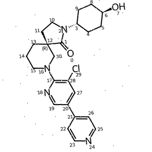 O=C1N([C@H]2CC[C@H](O)CC2)CC[C@@]12CCCN(c1ncc(-c3ccncc3)cc1Cl)C2